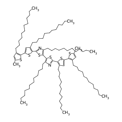 CCCCCCCCCCCCc1cc(C)sc1-c1cc(CCCCCCCCCCCC)c(-c2nc(CCCCCCCCCCCC)c(-c3sc(-c4sc(-c5sc(C)cc5CCCCCCCCCCCC)cc4CCCCCCCCCCCC)nc3CCCCCCCCCCCC)s2)s1